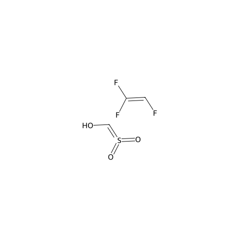 FC=C(F)F.O=S(=O)=CO